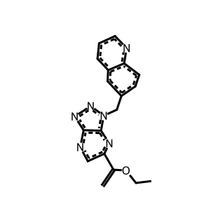 C=C(OCC)c1cnc2nnn(Cc3ccc4ncccc4c3)c2n1